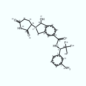 Nc1cccc([C@@H](NC(=O)c2ccc3c(c2)CN(C2CCC(=O)NC2=O)C3O)C(F)(F)F)c1